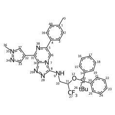 Cc1ccc(-c2cn3c(NCC(O[Si](c4ccccc4)(c4ccccc4)C(C)(C)C)C(F)(F)F)nnc3c(-c3cnn(C)c3)n2)cc1